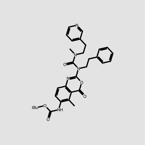 Cc1c(NC(=O)OC(C)(C)C)ccc2nc(N(CCc3ccccc3)C(=O)N(C)CCc3cccnc3)oc(=O)c12